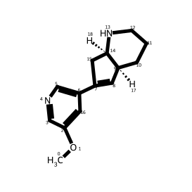 COc1cncc(C2=C[C@@H]3CCCN[C@@H]3C2)c1